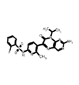 Cc1nc(NS(=O)(=O)c2ccccc2F)ccc1-c1nc2cnc(N)nc2n(C(C)C)c1=O